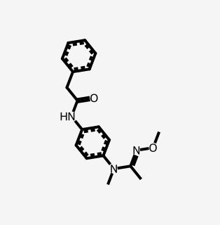 CON=C(C)N(C)c1ccc(NC(=O)Cc2ccccc2)cc1